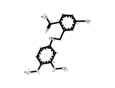 COc1ccc(NCc2cc(O)ccc2C(N)=O)cc1OC